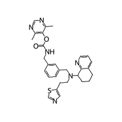 Cc1ncnc(C)c1OC(=O)NCc1cccc(CN(CCc2cncs2)C2CCCc3cccnc32)c1